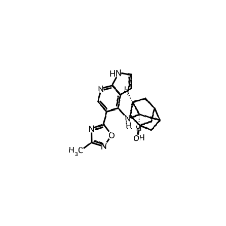 Cc1noc(-c2cnc3[nH]ccc3c2N[C@@H]2C3C[C@@]4(O)CC3C[C@@H]2C4)n1